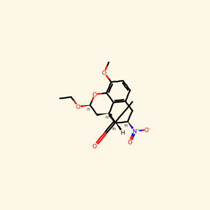 CCO[C@@H]1C[C@]23C=CC(=O)C[C@H]2[C@H]([N+](=O)[O-])Cc2ccc(OC)c(c23)O1